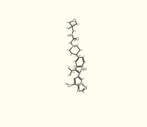 COc1cc(-c2[nH]c3ccc(C4CCN(CC(=O)NCC5(C)COC5)CC4)cc3c2C(C)C)cn2ncnc12